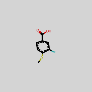 CSc1ccc(C(=O)O)cc1F